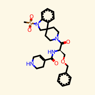 CS(=O)(=O)N1CC2(CCN(C(=O)[C@@H](COCc3ccccc3)NC(=O)C3=CCNCC3)CC2)c2ccccc21